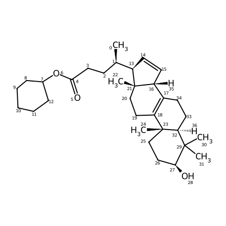 C[C@H](CCC(=O)OC1CCCCC1)[C@H]1C=C[C@@H]2C3=C(CC[C@@]21C)[C@@]1(C)CC[C@H](O)C(C)(C)[C@@H]1CC3